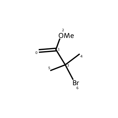 C=C(OC)C(C)(C)Br